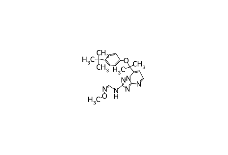 CO/N=C\Nc1nc2nccc(C(C)(C)Oc3ccc(C(C)(C)C)cc3)n2n1